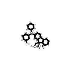 CCC1(C)c2ccccc2-c2ccc(N(c3ccccc3)c3cccc(C)c3)cc21